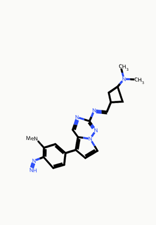 CNc1cc(-c2ccn3nc(N=CC4CC(N(C)C)C4)ncc23)ccc1N=N